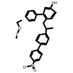 CC(Cc1ccc(O)cc1-c1ccccc1)c1ccc(-c2ccc([N+](=O)[O-])cc2)cc1.CCOCC